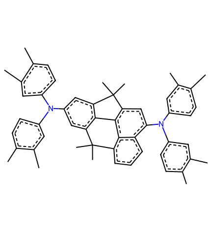 Cc1ccc(N(c2ccc(C)c(C)c2)c2cc3c4c(c2)C(C)(C)c2cccc5c(N(c6ccc(C)c(C)c6)c6ccc(C)c(C)c6)cc(c-4c25)C3(C)C)cc1C